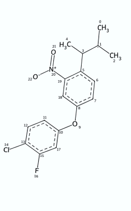 C[C](C)C(C)c1ccc(Oc2ccc(Cl)c(F)c2)cc1[N+](=O)[O-]